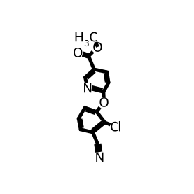 COC(=O)c1ccc(Oc2cccc(C#N)c2Cl)nc1